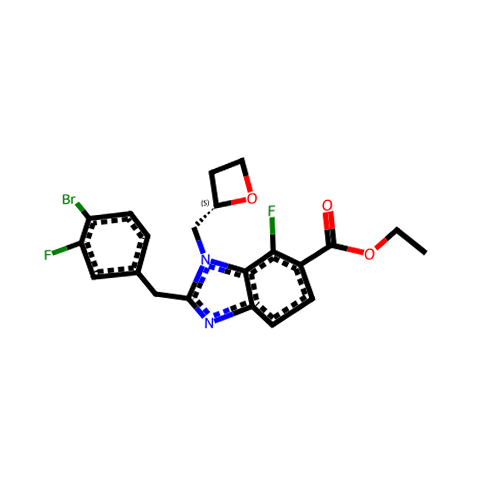 CCOC(=O)c1ccc2nc(Cc3ccc(Br)c(F)c3)n(C[C@@H]3CCO3)c2c1F